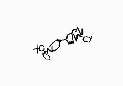 CC(C)(C)OC(=O)N1CCC(c2ccn3c(Cl)ncc3c2)CC1